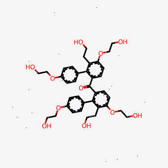 O=C(c1ccc(OCCO)c(CCO)c1-c1ccc(OCCO)cc1)c1ccc(OCCO)c(CCO)c1-c1ccc(OCCO)cc1